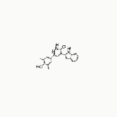 Cc1cc(-c2cc(-c3cc4ccccc4[nH]3)c(=O)[nH]n2)cc(C)c1O